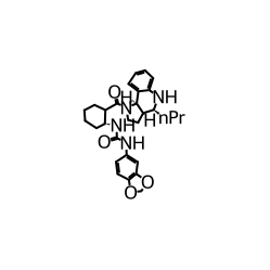 CCC[C@@H]1Nc2ccccc2[C@H]2[C@@H]1CCN2C(=O)C1CCCC[C@H]1NC(=O)Nc1ccc2c(c1)OCO2